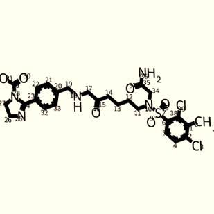 Cc1c(Cl)ccc(S(=O)(=O)N(CCCCC(=O)CNCc2ccc(C3=NCCN3C(=O)O)cc2)CC(N)=O)c1Cl